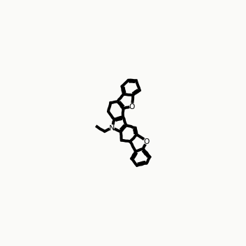 CCn1c2c(c3c1CCc1c-3oc3ccccc13)C=C1Oc3ccccc3C1C2